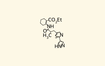 CCOC(=O)C1=C(NC(=O)C(C)Cc2cnc(-c3cn[nH]c3)s2)CCCC1